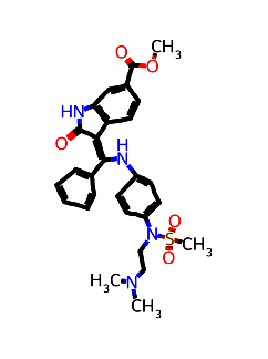 COC(=O)c1ccc2c(c1)NC(=O)C2=C(Nc1ccc(N(CCN(C)C)S(C)(=O)=O)cc1)c1ccccc1